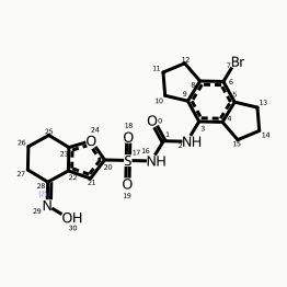 O=C(Nc1c2c(c(Br)c3c1CCC3)CCC2)NS(=O)(=O)c1cc2c(o1)CCC/C2=N/O